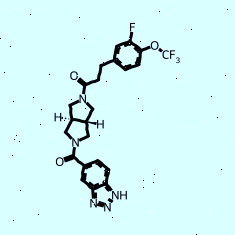 O=C(CCc1ccc(OC(F)(F)F)c(F)c1)N1C[C@@H]2CN(C(=O)c3ccc4[nH]nnc4c3)C[C@H]2C1